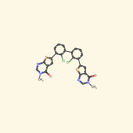 Cn1cnc2sc(-c3cccc(-c4cccc(-c5cc6c(=O)n(C)cnc6s5)c4Cl)c3Cl)cc2c1=O